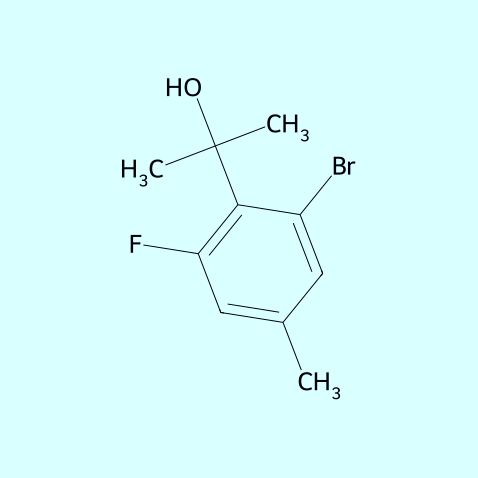 Cc1cc(F)c(C(C)(C)O)c(Br)c1